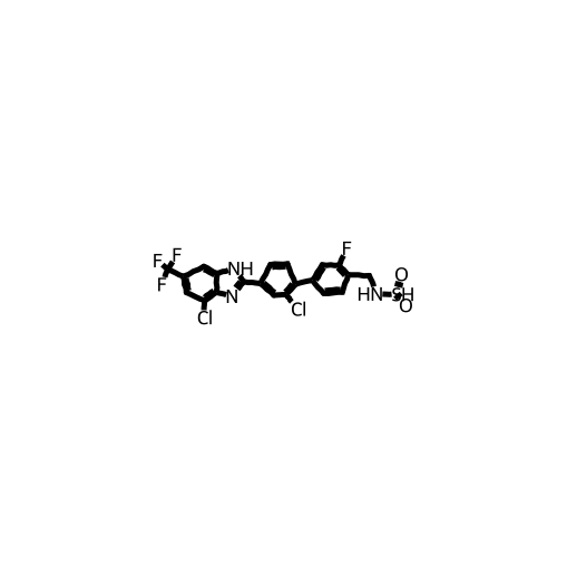 O=[SH](=O)NCc1ccc(-c2ccc(-c3nc4c(Cl)cc(C(F)(F)F)cc4[nH]3)cc2Cl)cc1F